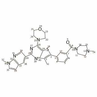 Cc1c(-c2cccc(C(=O)N3CCN(C)CC3)c2)sc2c(N3CCOCC3)nc(-c3cnc4c(ccn4C)c3)nc12